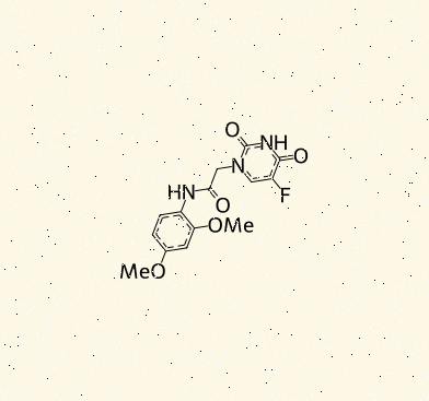 COc1ccc(NC(=O)Cn2cc(F)c(=O)[nH]c2=O)c(OC)c1